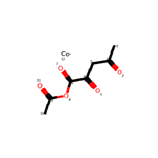 CC(=O)CC(=O)C(=O)OC(C)=O.[Co]